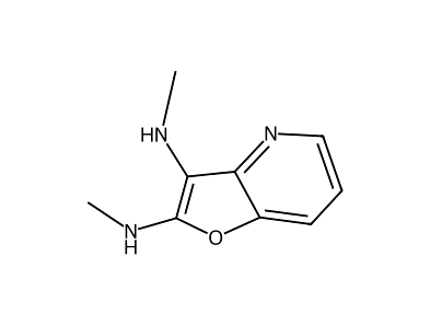 CNc1oc2cccnc2c1NC